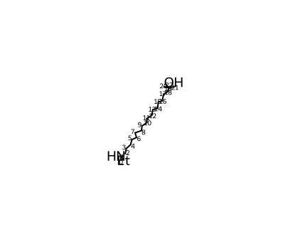 CCNCCCCCCCCCCCCCCCCCC(C)(C)O